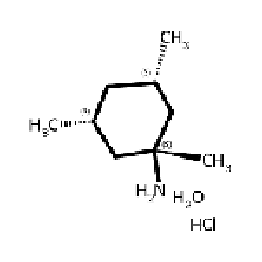 C[C@@H]1C[C@H](C)C[C@](C)(N)C1.Cl.O